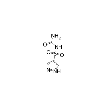 NC(=O)NS(=O)(=O)c1cn[nH]c1